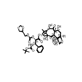 CC1=C2[C@@H](O)C(=O)[C@@]3(C)[C@H]([C@H](O)C(O)(C[C@@H]1OC(=O)[C@H](OC(=O)OCC1COCO1)[C@@H](NC(=O)OC(C)(C)C)c1ccccc1)C2(C)C)[C@]1(O)CO[C@@H]1C[C@@H]3O